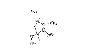 CCCO[Si](C)(C[Si](C)(OC(C)(C)C)OC(C)(C)C)OCCC